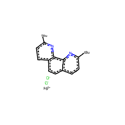 CC(C)(C)c1ccc2ccc3ccc(C(C)(C)C)nc3c2n1.[Cl-].[Cl-].[Pd+2]